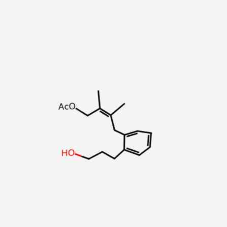 CC(=O)OC/C(C)=C(/C)Cc1ccccc1CCCO